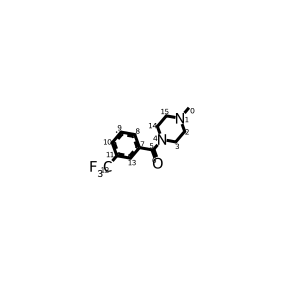 CN1CCN(C(=O)c2c[c]cc(C(F)(F)F)c2)CC1